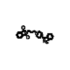 O=C1c2ccccc2C(=O)N1CCCN1CCN(c2nsc3ccccc23)CC1